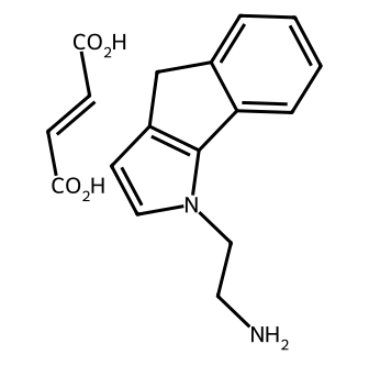 NCCn1ccc2c1-c1ccccc1C2.O=C(O)/C=C/C(=O)O